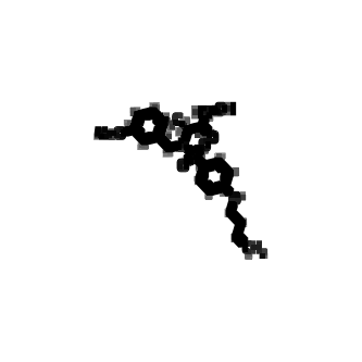 C=CCCOc1ccc(S(=O)(=O)N(Cc2cccc(OC)c2)[C@H](C)C(=O)NO)cc1